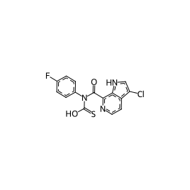 O=C(c1nccc2c(Cl)c[nH]c12)N(C(O)=S)c1ccc(F)cc1